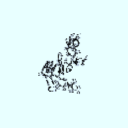 CCN(C(=O)Cn1nc(-c2cc(Cl)cc(N3CCCC3)c2)c2[nH]cnc2c1=O)c1ccc2c(c1)OC(F)(F)O2